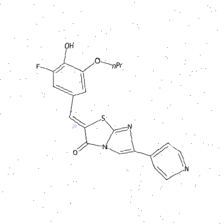 CCCOc1cc(/C=c2\sc3nc(-c4ccncc4)cn3c2=O)cc(F)c1O